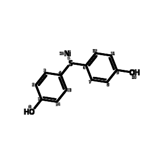 Oc1ccc(Sc2ccc(O)cc2)cc1.[Ni]